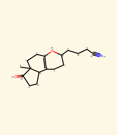 CC12CCC3=C(CCC(CCCC#N)O3)C1CCC2=O